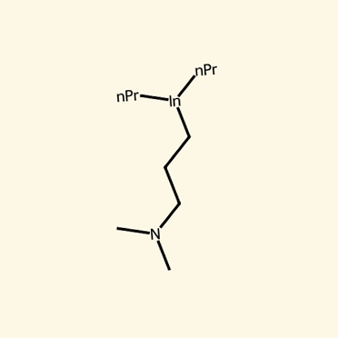 CC[CH2][In]([CH2]CC)[CH2]CCN(C)C